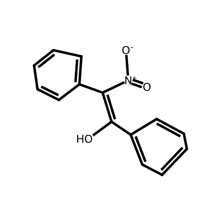 O=[N+]([O-])C(=C(O)c1ccccc1)c1ccccc1